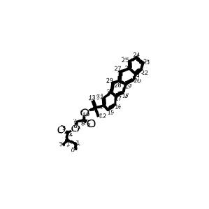 CCC(C)C(=O)OCC(=O)OC(C)(C)c1ccc2cc3cc4ccccc4cc3cc2c1